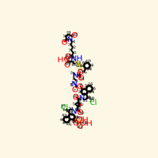 CN(CCN(C)C(=O)Oc1cc2c(c3ccccc13)[C@H](CCl)CN2C(=O)C12CC(C(=O)N3C[C@@H](CCl)c4c3cc(OP(=O)(O)O)c3ccccc43)(C1)C2)C(=O)OCc1ccccc1SSCC(NC(=O)CCCCCN1C(=O)C=CC1=O)C(=O)O